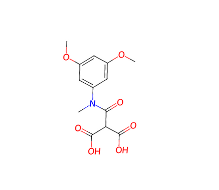 COc1cc(OC)cc(N(C)C(=O)C(C(=O)O)C(=O)O)c1